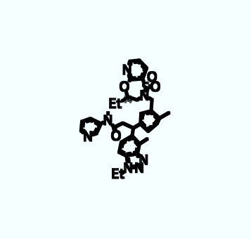 CC[C@@H]1CN(Cc2cc(C(CC(=O)N(C)c3cccnc3)c3ccc4c(nnn4CC)c3C)ccc2C)S(=O)(=O)c2cccnc2O1